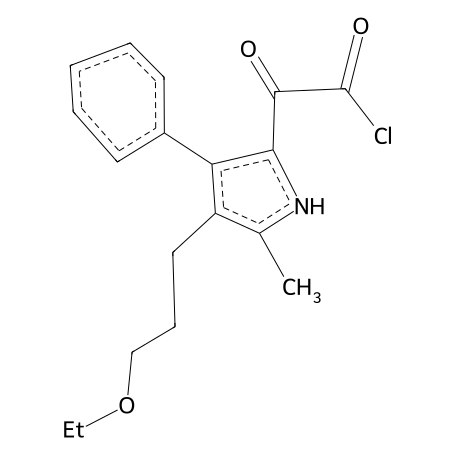 CCOCCCc1c(C)[nH]c(C(=O)C(=O)Cl)c1-c1ccccc1